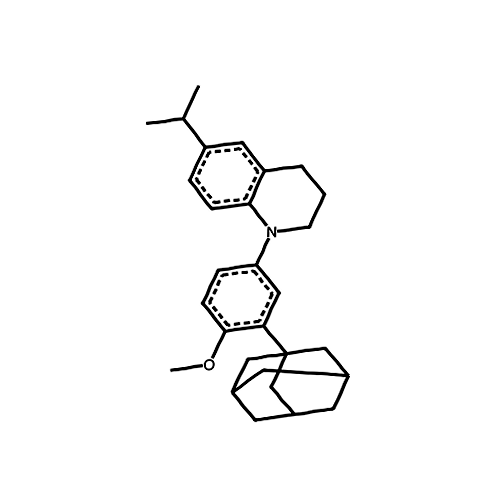 COc1ccc(N2CCCc3cc(C(C)C)ccc32)cc1C12CC3CC(CC(C3)C1)C2